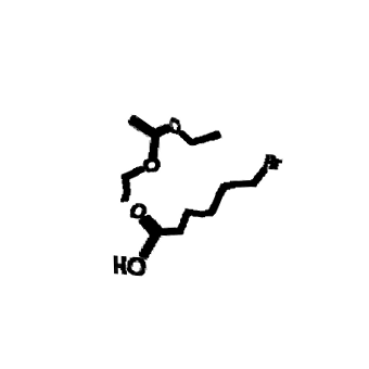 CCOC(C)OCC.O=C(O)CCCCCBr